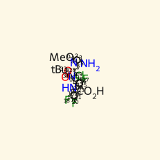 COc1ccc(N)c(CCCN(Cc2c(Nc3cc(F)c(F)cc3C(=O)O)ccc(F)c2Cl)C(=O)OC(C)(C)C)n1